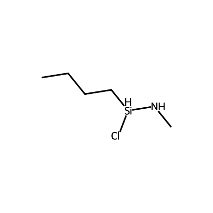 CCCC[SiH](Cl)NC